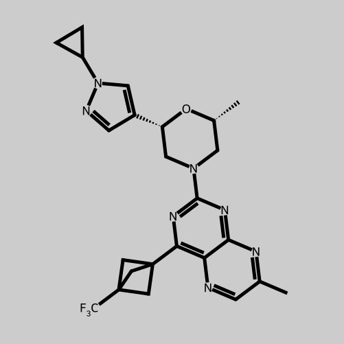 Cc1cnc2c(C34CC(C(F)(F)F)(C3)C4)nc(N3C[C@@H](C)O[C@@H](c4cnn(C5CC5)c4)C3)nc2n1